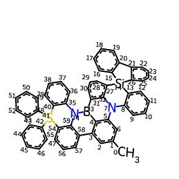 Cc1cc2c3c(c1)N1c4ccccc4[Si]4(c5ccccc5-c5ccccc54)c4cccc(c41)B3N1c3ccccc3S(c3ccccc3)(c3ccccc3)c3cccc-2c31